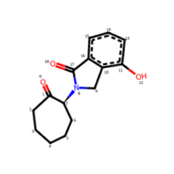 O=C1CCCCC[C@@H]1N1Cc2c(O)cccc2C1=O